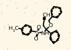 C#CCC(NS(=O)(=O)c1ccc(C)cc1)(OCc1ccccc1)c1ccccc1